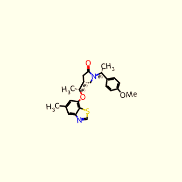 COc1ccc([C@@H](C)N2C[C@H]([C@@H](C)Oc3cc(C)cc4ncsc34)CC2=O)cc1